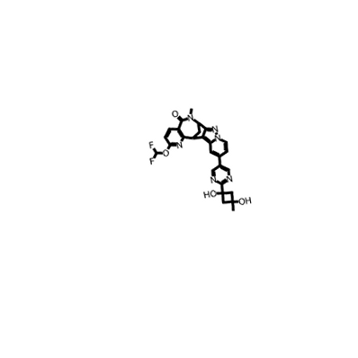 CN1C(=O)c2ccc(OC(F)F)nc2C2CC1c1nn3ccc(-c4cnc(C5(O)CC(C)(O)C5)nc4)cc3c12